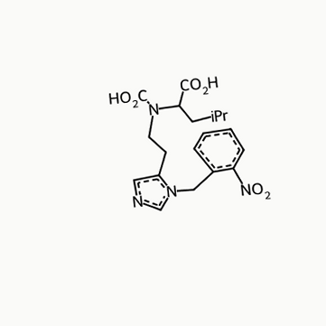 CC(C)CC(C(=O)O)N(CCc1cncn1Cc1ccccc1[N+](=O)[O-])C(=O)O